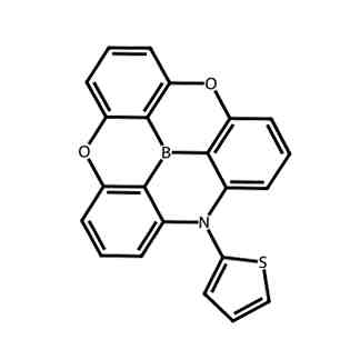 c1csc(N2c3cccc4c3B3c5c(cccc5Oc5cccc2c53)O4)c1